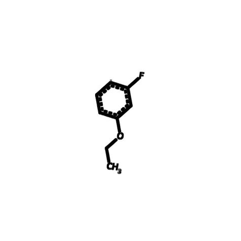 CCOc1cc[c]c(F)c1